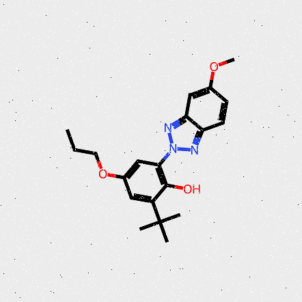 CCCOc1cc(-n2nc3ccc(OC)cc3n2)c(O)c(C(C)(C)C)c1